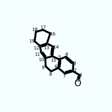 O=Cc1ccc2c(c1)CCc1cc3c(cc1-2)CCCC3